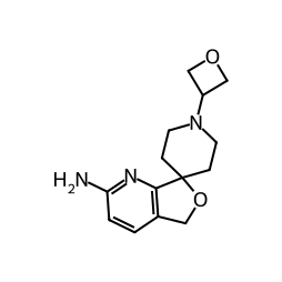 Nc1ccc2c(n1)C1(CCN(C3COC3)CC1)OC2